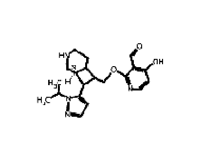 CC(C)n1nccc1C1C(COc2nccc(O)c2C=O)C2CCNC[C@@H]21